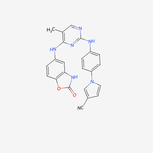 Cc1cnc(Nc2ccc(-n3ccc(C#N)c3)cc2)nc1Nc1ccc2oc(=O)[nH]c2c1